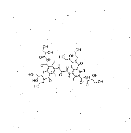 O=C(Nc1c(I)c(C(=O)NC(=O)C(O)CO)c(I)c(C(=O)N(CCO)CC(O)CO)c1I)C(=O)Nc1c(I)c(C(=O)NC(=O)C(O)CO)c(I)c(C(=O)N(CCO)CC(O)CO)c1I